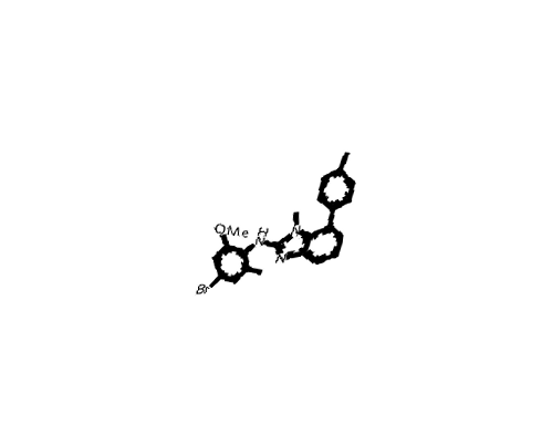 COc1cc(Br)cc(C)c1Nc1nc2cccc(-c3ccc(C)cc3)c2n1C